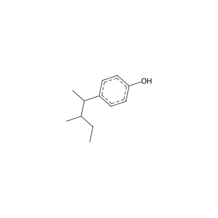 CCC(C)C(C)c1ccc(O)cc1